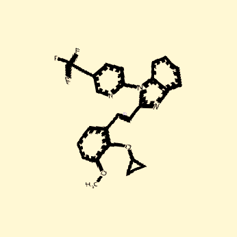 COc1cccc(/C=C/c2nc3ccccc3n2-c2ccc(C(F)(F)F)cn2)c1OC1CC1